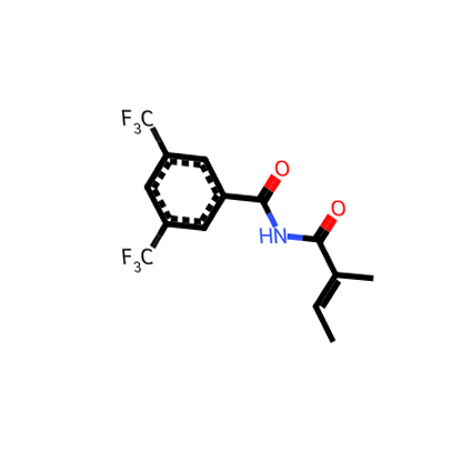 CC=C(C)C(=O)NC(=O)c1cc(C(F)(F)F)cc(C(F)(F)F)c1